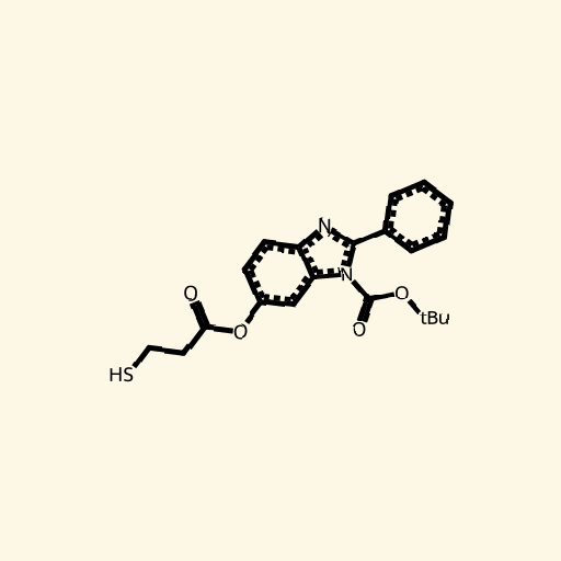 CC(C)(C)OC(=O)n1c(-c2ccccc2)nc2ccc(OC(=O)CCS)cc21